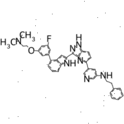 CN(C)CCOc1cc(F)cc(-c2cccc3[nH]c(-c4n[nH]c5ccc(-c6cncc(NCCc7ccccc7)c6)nc45)cc23)c1